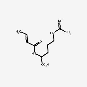 CC=CC(=O)NC(CCCNC(=N)N)C(=O)O